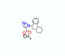 COC(=O)c1cncn1C1CC2CCCCC2c2ccccc21